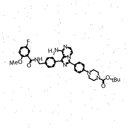 COc1ccc(F)cc1C(=O)NCc1ccc(-c2nc(-c3ccc(N4CCN(C(=O)OC(C)(C)C)CC4)cc3)n3ccnc(N)c23)cc1